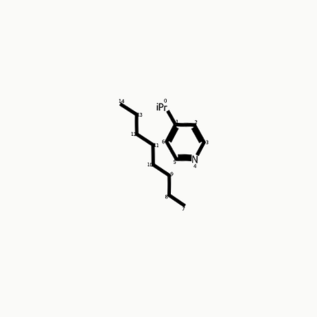 CC(C)c1ccncc1.CCCCCCCC